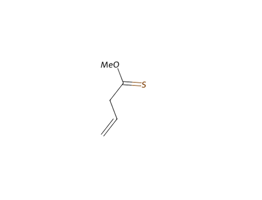 [CH2]OC(=S)CC=C